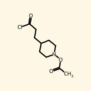 CC(=O)ON1CCC(CCC(=O)Cl)CC1